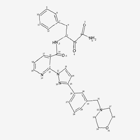 NC(=O)C(=O)C(Cc1ccccc1)NC(=O)c1cccnc1-n1ccc(-c2cccc(CN3CCOCC3)c2)n1